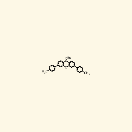 CCCCN1c2ccc(-c3ccc(C)cc3)cc2Oc2cc(-c3ccc(C)cc3)ccc21